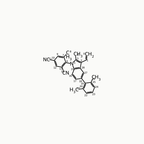 C=Cc1c(C)n(-c2c(C)cc(C#N)cc2C#N)c2ccc(-c3c(C)cccc3C)cc12